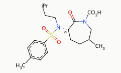 Cc1ccc(S(=O)(=O)N(CCC(C)C)[C@H]2CCC(C)CN(C(=O)O)C2=O)cc1